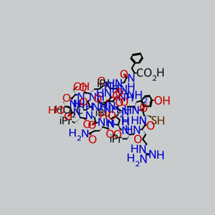 CC[C@H](C)[C@H](NC(=O)[C@H](CC(C)C)NC(=O)[C@@H](NC(=O)[C@H](CO)NC(=O)[C@H](CCC(N)=O)NC(=O)[C@H](CC(=O)O)NC(=O)[C@@H](N)CCCNC(=N)N)[C@@H](C)O)C(=O)N[C@@H](CCC(N)=O)C(=O)N1CCC[C@H]1C(=O)N[C@@H](CC(C)C)C(=O)N[C@@H](CCCNC(=N)N)C(=O)N[C@@H](CS)C(=O)N[C@@H](Cc1ccc(O)cc1)C(=O)N[C@@H](CO)C(=O)N[C@@H](C)C(=O)N[C@H](C(=O)NCC(=O)N[C@@H](Cc1ccccc1)C(=O)O)C(C)C